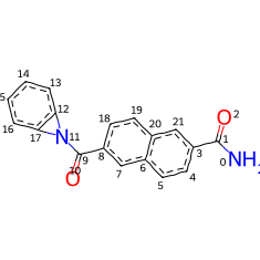 NC(=O)c1ccc2cc(C(=O)N3c4ccccc43)ccc2c1